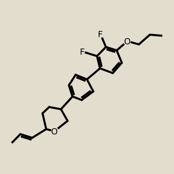 C/C=C/C1CCC(c2ccc(-c3ccc(OCCC)c(F)c3F)cc2)CO1